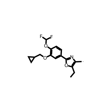 [CH2]c1nc(-c2ccc(OC(F)F)c(OCC3CC3)c2)oc1CC